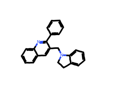 c1ccc(-c2nc3ccccc3cc2CN2CCc3ccccc32)cc1